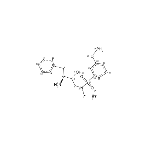 CC(C)CN(C[C@@H](O)[C@@H](N)Cc1ccccc1)S(=O)(=O)c1cccc(OP)c1